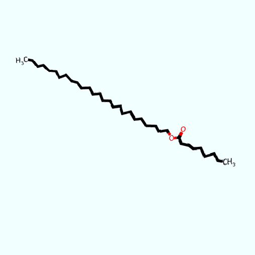 CCCCCCCCCCCCCCCCCCCCCCCCCCOC(=O)CCCCCCCC